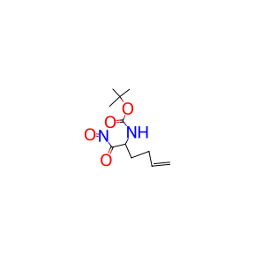 C=CCCC(NC(=O)OC(C)(C)C)C(=O)N=O